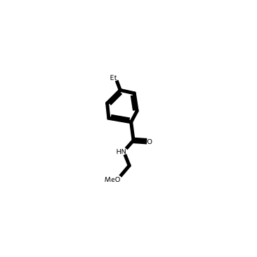 CCc1ccc(C(=O)NCOC)cc1